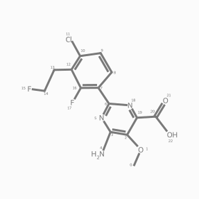 COc1c(N)nc(-c2ccc(Cl)c(CCF)c2F)nc1C(=O)O